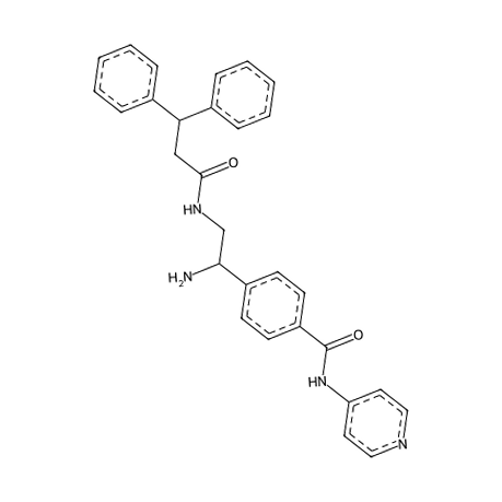 NC(CNC(=O)CC(c1ccccc1)c1ccccc1)c1ccc(C(=O)Nc2ccncc2)cc1